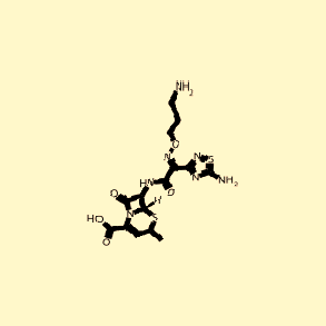 CC1C=C(C(=O)O)N2C(=O)C(NC(=O)C(=NOCCCN)c3nsc(N)n3)[C@@H]2S1